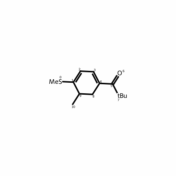 CSC1=CC=C(C(=O)C(C)(C)C)CC1C